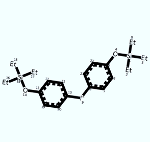 CC[Si](CC)(CC)Oc1ccc([I+]c2ccc(O[Si](CC)(CC)CC)cc2)cc1